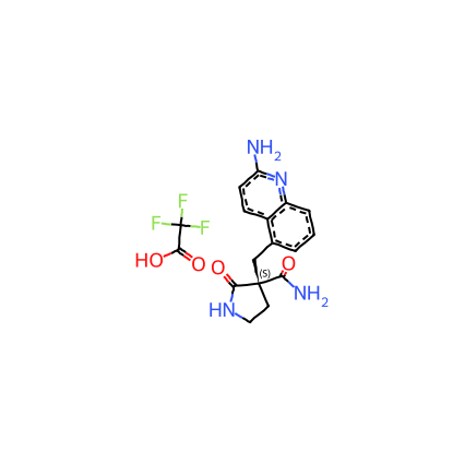 NC(=O)[C@]1(Cc2cccc3nc(N)ccc23)CCNC1=O.O=C(O)C(F)(F)F